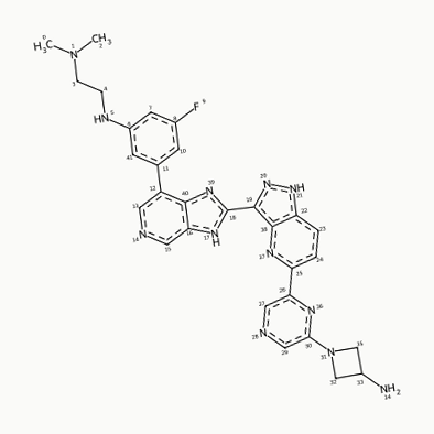 CN(C)CCNc1cc(F)cc(-c2cncc3[nH]c(-c4n[nH]c5ccc(-c6cncc(N7CC(N)C7)n6)nc45)nc23)c1